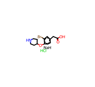 Cl.O=C(O)Cc1ccc(OC2CCNCC2)c(Br)c1.[NaH]